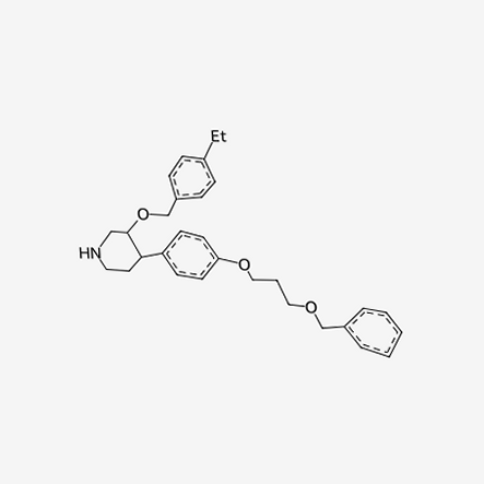 CCc1ccc(COC2CNCCC2c2ccc(OCCCOCc3ccccc3)cc2)cc1